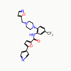 O=C(Nc1cc(C(F)(F)F)ccc1N1CCN(Cc2ccno2)CC1)c1ccc(-c2ccncc2)o1